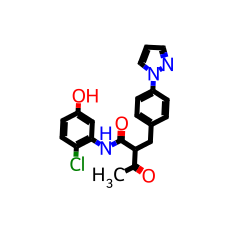 CC(=O)C(Cc1ccc(-n2cccn2)cc1)C(=O)Nc1cc(O)ccc1Cl